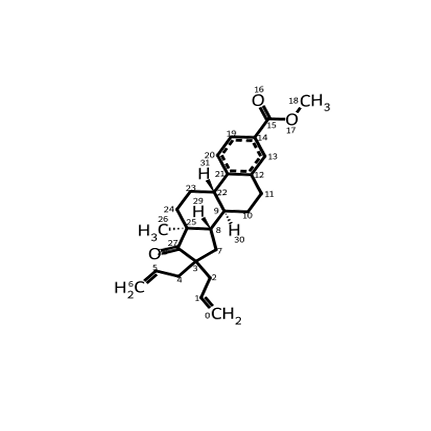 C=CCC1(CC=C)C[C@H]2[C@@H]3CCc4cc(C(=O)OC)ccc4[C@H]3CC[C@]2(C)C1=O